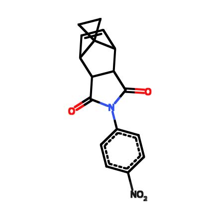 O=C1C2C(C(=O)N1c1ccc([N+](=O)[O-])cc1)C1C=CC2C12CC2